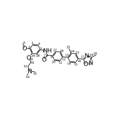 COc1ccc(NC(=O)c2ccc(-c3ccc(-c4nc(C)no4)cc3C)cc2)cc1OCCN(C)C